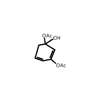 [CH]C1(OC(C)=O)C=C(OC(C)=O)C=CC1